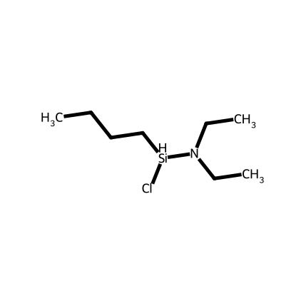 CCCC[SiH](Cl)N(CC)CC